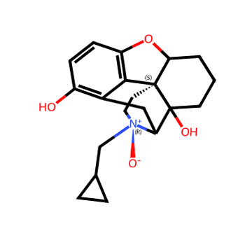 [O-][N@@+]1(CC2CC2)CC[C@@]23c4c5ccc(O)c4CC1C2(O)CCCC3O5